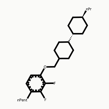 CCCCCc1ccc(OCC2CCC([C@H]3CC[C@H](CCC)CC3)CC2)c(F)c1F